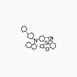 c1ccc(-c2ccc(N(c3ccc4c(c3)[Si]3(c5ccccc5Oc5ccccc53)c3ccccc3-4)c3cccc4ccccc34)cc2)cc1